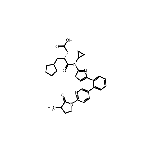 CC1CCN(c2ccc(-c3ccccc3-c3csc(N(C(=O)[C@@H](CC(=O)O)CC4CCCC4)C4CC4)n3)cn2)C1=O